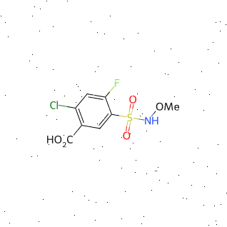 CONS(=O)(=O)c1cc(C(=O)O)c(Cl)cc1F